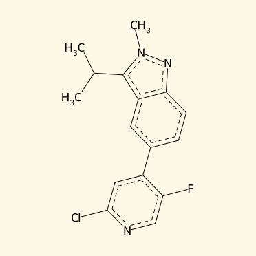 CC(C)c1c2cc(-c3cc(Cl)ncc3F)ccc2nn1C